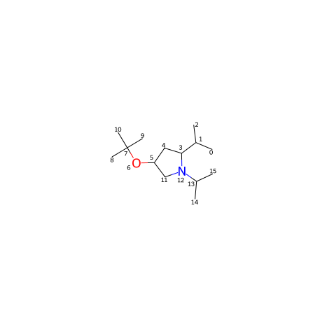 CC(C)C1CC(OC(C)(C)C)CN1C(C)C